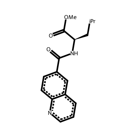 COC(=O)[C@@H](CC(C)C)NC(=O)c1ccc2ncccc2c1